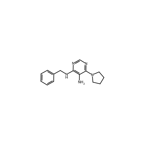 Nc1c(NCc2ccccc2)ncnc1N1CCCC1